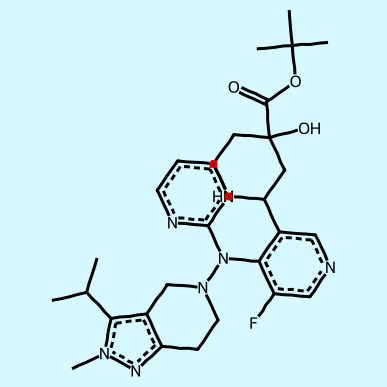 CC(C)c1c2c(nn1C)CCN(N(c1ncccn1)c1c(F)cncc1C1CC(O)(C(=O)OC(C)(C)C)CCN1)C2